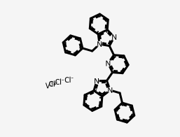 [Cl-].[Cl-].[Cl-].[V+3].c1ccc(Cn2c(-c3cccc(-c4nc5ccccc5n4Cc4ccccc4)n3)nc3ccccc32)cc1